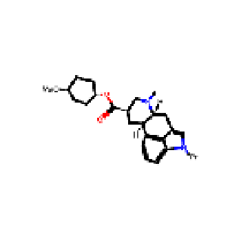 CO[C@H]1CC[C@H](OC(=O)[C@@H]2C[C@@H]3c4cccc5c4c(cn5C(C)C)C[C@H]3N(C)C2)CC1